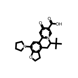 CC(C)(C)C1Cc2c(cc(N3CCCC3)c3c2CCO3)-c2cc(=O)c(C(=O)O)cn21